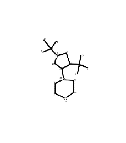 CC(C)(C)C1CN(C(C)(C)C)CC1N1CCOCC1